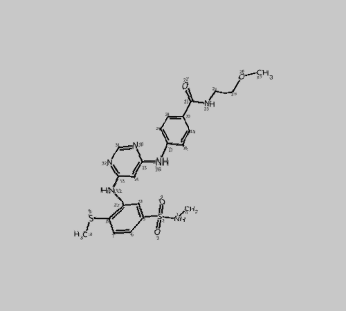 CNS(=O)(=O)c1ccc(SC)c(Nc2cc(Nc3ccc(C(=O)NCCOC)cc3)ncn2)c1